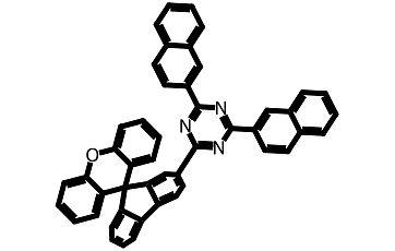 c1ccc2c(c1)Oc1ccccc1C21c2ccccc2-c2ccc(-c3nc(-c4ccc5ccccc5c4)nc(-c4ccc5ccccc5c4)n3)cc21